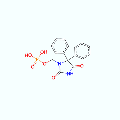 O=C1NC(=O)C(c2ccccc2)(c2ccccc2)N1COP(=O)(O)O